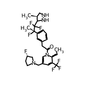 C/C=C1/C(C(F)(F)F)=CC(CN2CC[C@H](F)C2)=CN1C(=O)Cc1cccc([C@](C)(F)C(F)(F)C2NNC[C@@H]2C)c1